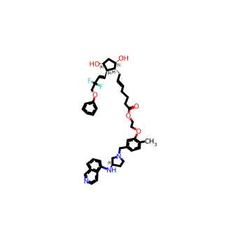 Cc1ccc(CN2CC[C@@H](Nc3cccc4cnccc34)C2)cc1OCCOC(=O)CCCC=CC[C@@H]1[C@@H](C=CC(F)(F)COc2ccccc2)[C@H](O)C[C@@H]1O